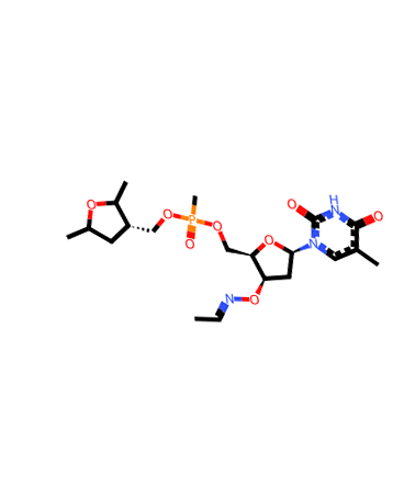 C/C=N/O[C@@H]1C[C@H](n2cc(C)c(=O)[nH]c2=O)O[C@@H]1COP(C)(=O)OC[C@@H]1CC(C)OC1C